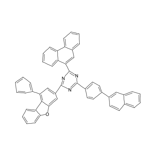 c1ccc(-c2cc(-c3nc(-c4ccc(-c5ccc6ccccc6c5)cc4)nc(-c4cc5ccccc5c5ccccc45)n3)cc3oc4ccccc4c23)cc1